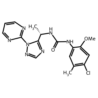 COc1cc(Cl)c(C)cc1NC(=O)N[C@@H](C)c1ncnn1-c1ncccn1